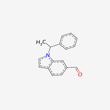 CC(c1ccccc1)n1ccc2ccc(C=O)cc21